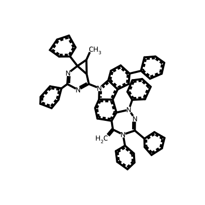 C=C1c2ccc3c(c2N(c2ccccc2)N=C(c2ccccc2)N1c1ccccc1)c1cc(-c2ccccc2)ccc1n3C1=NC(c2ccccc2)=NC2(c3ccccc3)C(C)C12